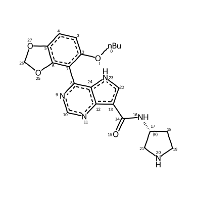 CCCCOc1ccc2c(c1-c1ncnc3c(C(=O)N[C@@H]4CCNC4)c[nH]c13)OCO2